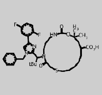 CC1(C)CC(C(=O)O)CCCCCSCC(=O)N(C(c2nc(-c3cc(F)ccc3F)cn2Cc2ccccc2)C(C)(C)C)CCCNC(=O)O1